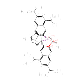 CC(C)c1cc(C(C)C)c2cc(C3(P(O)(O)(O)c4cc5c(C(C)C)cc(C(C)C)cc5cc4C(C)C)CCCCC3)c(C(C)C)cc2c1